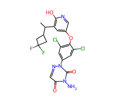 CC(c1cc(Oc2c(Cl)cc(-n3ncc(=O)n(N)c3=O)cc2Cl)cnc1O)C1CC(F)(F)C1